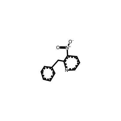 O=[N+]([O-])c1cccnc1Cc1ccccc1